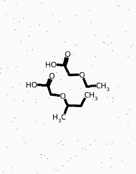 CCC(C)OCC(=O)O.CCOCC(=O)O